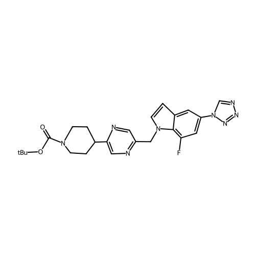 CC(C)(C)OC(=O)N1CCC(c2cnc(Cn3ccc4cc(-n5cnnn5)cc(F)c43)cn2)CC1